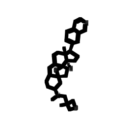 CN(CC1(C)COC1)[C@H]1CCC2=CC3=CC[C@]4(C)[C@@H](c5ccc6ccncc6c5)CC[C@H]4[C@@]34CC[C@]2(C1)O4